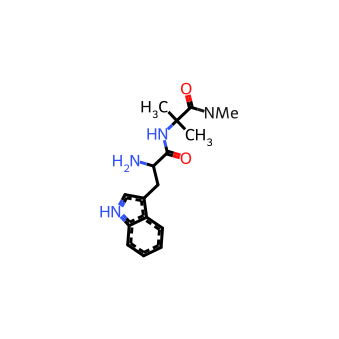 CNC(=O)C(C)(C)NC(=O)C(N)Cc1c[nH]c2ccccc12